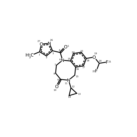 Cc1cc(C(=O)N2CCC(=O)N(C3CC3)Cc3cc(OC(F)F)ccc32)no1